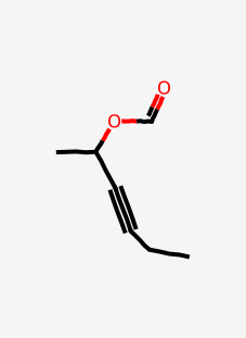 CCC#CC(C)OC=O